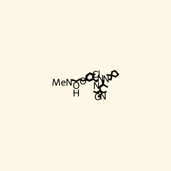 CNC[C@@H](O)COc1ccc(Cl)c(-c2nc(-c3c(C)noc3C)c(C)c(N3CC4(CCCC4)C3)n2)c1